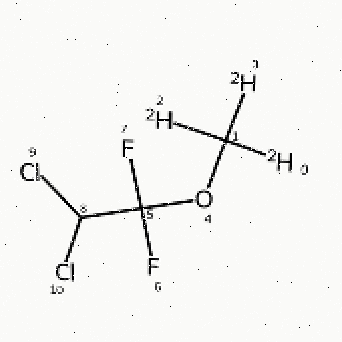 [2H]C([2H])([2H])OC(F)(F)C(Cl)Cl